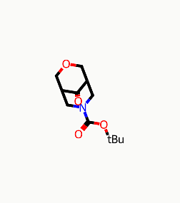 CC(C)(C)OC(=O)N1CC2COCC(C1)C2=O